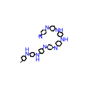 CN=C1C=CC(=Nc2ccc(Nc3ccc(Nc4ccc(N=C5C=CC(=Nc6ccc(Nc7ccc(Nc8ccc(C)cc8)cc7)cc6)C=C5)cc4)cc3)cc2)C=C1